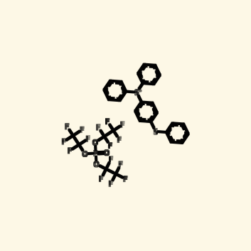 O=P(OC(F)(F)C(F)(F)F)(OC(F)(F)C(F)(F)F)OC(F)(F)C(F)(F)F.c1ccc(Sc2ccc([S+](c3ccccc3)c3ccccc3)cc2)cc1